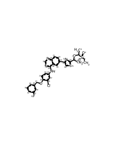 CCS(=O)(=O)C(C)OC(C)c1nc(-c2ccc3ncnc(Nc4ccc(OCc5cccc(F)c5)c(Cl)c4)c3c2)cs1